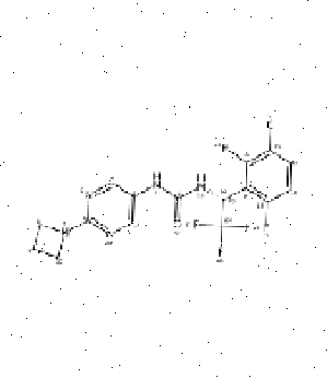 O=C(Nc1cnc(N2CCC2)nc1)N[C@H](c1c(F)ccc(Cl)c1F)C(F)(F)F